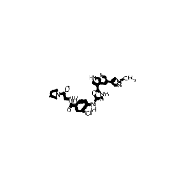 Cn1cc(-c2cnc3[nH]cc(C4NN=C(Nc5ccc(C(=O)NCC(=O)N6CCCC6)cc5Cl)O4)c3c2)cn1